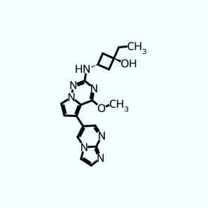 CC[C@]1(O)C[C@H](Nc2nc(OC)c3c(-c4cnc5nccn5c4)ccn3n2)C1